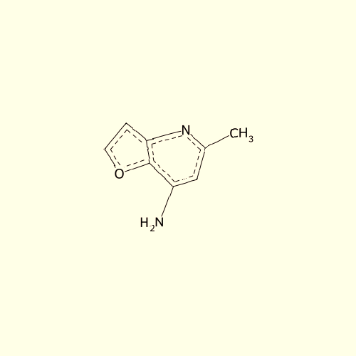 Cc1cc(N)c2occc2n1